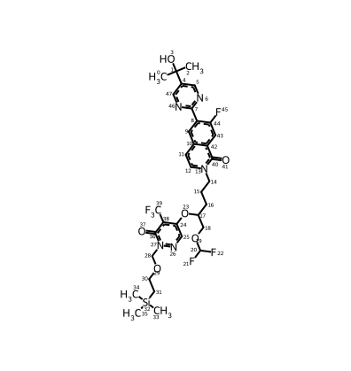 CC(C)(O)c1cnc(-c2cc3ccn(CCCC(COC(F)F)Oc4cnn(COCC[Si](C)(C)C)c(=O)c4C(F)(F)F)c(=O)c3cc2F)nc1